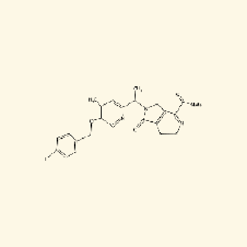 CNC(=O)c1nccc2c1CN(C(C)c1cc(C)c(OCc3ccc(F)cc3)cn1)C2=O